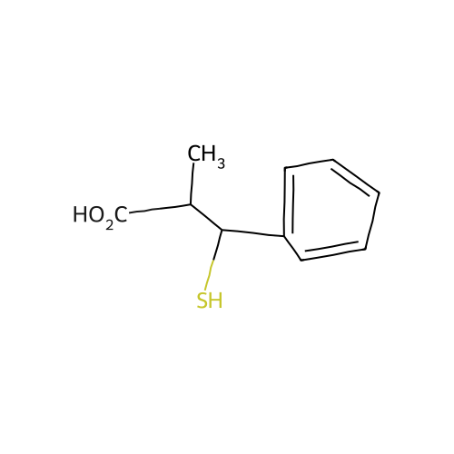 CC(C(=O)O)C(S)c1ccccc1